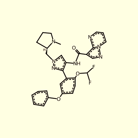 CN1CCC[C@@H]1Cn1cc(NC(=O)c2cnn3cccnc23)c(-c2cc(Oc3ccccc3)ccc2OC(F)F)n1